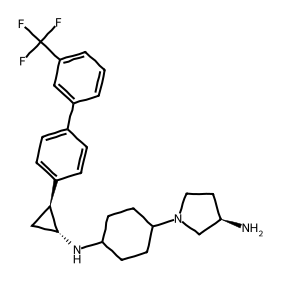 N[C@@H]1CCN(C2CCC(N[C@@H]3C[C@H]3c3ccc(-c4cccc(C(F)(F)F)c4)cc3)CC2)C1